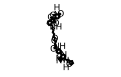 O=C1CCC(N2C(=O)c3cccc(NCCCCCOOCCNC(=O)c4ccc(-c5ncc(NCc6ccco6)n6cnnc56)cc4)c3C2=O)C(=O)N1